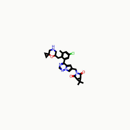 Cc1cc(Cl)cc(-c2ncnn3cc(CN4C(=O)C5C(C4=O)C5(C)C)cc23)c1CC1CNCC2(CC2)O1